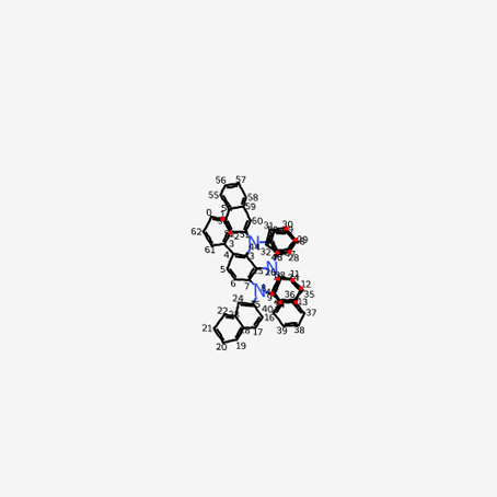 c1ccc(-c2ccc(N(c3ccccc3)c3ccc4ccccc4c3)c(N(c3ccccc3)c3ccc4ccccc4c3)c2N(c2ccccc2)c2ccc3ccccc3c2)cc1